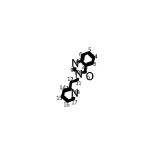 O=c1c2ccccc2ncn1CCc1ccccn1